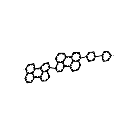 [c]1ccc(-c2ccc(-c3ccc4c5cccc6c(-c7ccc8c9cc[c]c%10cccc(c%11cccc7c%118)c%109)ccc(c7cccc3c47)c65)cc2)cc1